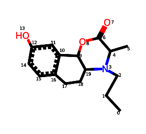 CCCN1C(C)C(=O)OC2c3cc(O)ccc3CCC21